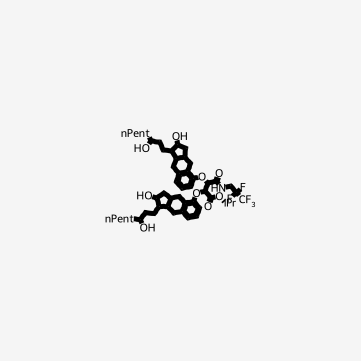 CCCCCC(O)CCC1C(O)CC2Cc3c(cccc3OC(C(=O)NCC(F)(F)C(F)(F)F)C(Oc3cccc4c3CC3CC(O)C(CCC(O)CCCCC)C3C4)C(=O)OC(C)C)CC21